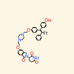 CCC(=C(c1ccc(O)cc1)c1ccc(OCCN2CCN(CCOc3ccc4c(c3)CN(C3CCC(=O)NC3=O)C4=O)CC2)cc1)c1ccccc1